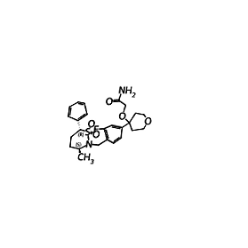 C[C@H]1CC[C@H](c2ccccc2)S(=O)(=O)N1Cc1ccc(C2(OCC(N)=O)CCOCC2)cc1F